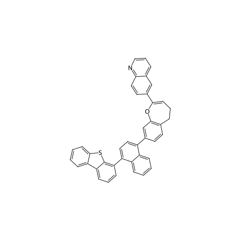 C1=C(c2ccc3ncccc3c2)Oc2cc(-c3ccc(-c4cccc5c4sc4ccccc45)c4ccccc34)ccc2CC1